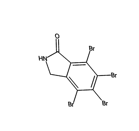 O=C1NCc2c(Br)c(Br)c(Br)c(Br)c21